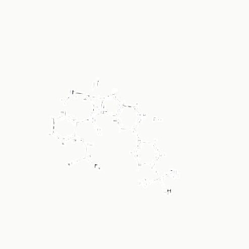 CC(C)(O)c1ncc(-c2cc3c(cc2F)nc2n3[C@@H]3C[C@H]2NCc2cccc(OC(F)F)c23)cn1